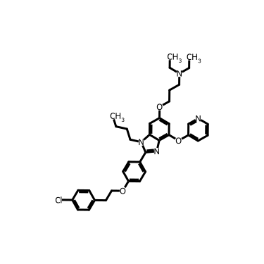 CCCCn1c(-c2ccc(OCCc3ccc(Cl)cc3)cc2)nc2c(Oc3cccnc3)cc(OCCCN(CC)CC)cc21